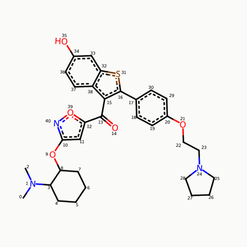 CN(C)C1CCCCC1Oc1cc(C(=O)c2c(-c3ccc(OCCN4CCCC4)cc3)sc3cc(O)ccc23)on1